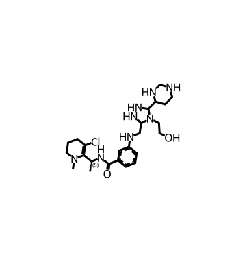 C[C@H](NC(=O)c1cccc(NCC2NNC(C3CCNCN3)N2CCO)c1)C1=C(Cl)CCCN1C